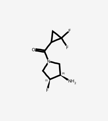 N[C@@H]1CN(C(=O)C2CC2(F)F)C[C@@H]1F